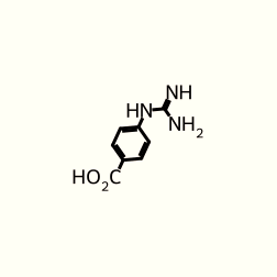 N=C(N)Nc1ccc(C(=O)O)cc1